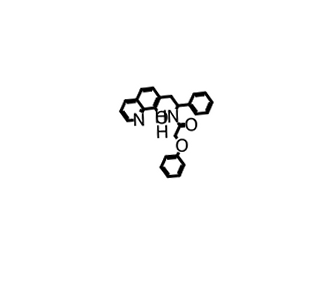 O=C(COc1ccccc1)NC(Cc1ccc2cccnc2c1O)c1ccccc1